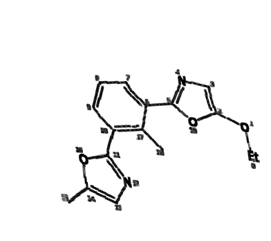 CCOc1cnc(-c2cccc(-c3ncc(C)o3)c2C)o1